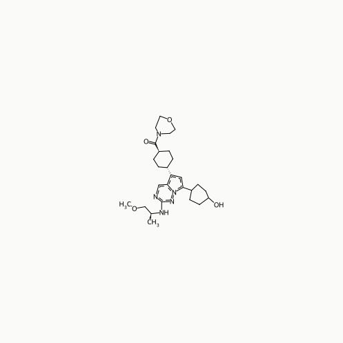 COC[C@H](C)Nc1ncc2c([C@H]3CC[C@H](C(=O)N4CCOCC4)CC3)cc(C3CCC(O)CC3)n2n1